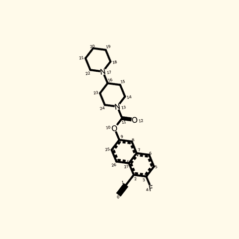 C#Cc1c(F)ccc2cc(OC(=O)N3CCC(N4CCCCC4)CC3)ccc12